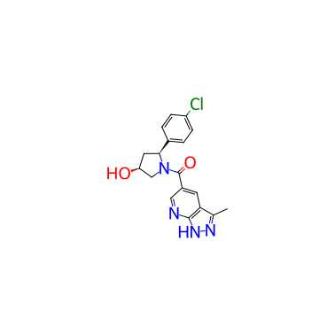 Cc1n[nH]c2ncc(C(=O)N3C[C@@H](O)C[C@H]3c3ccc(Cl)cc3)cc12